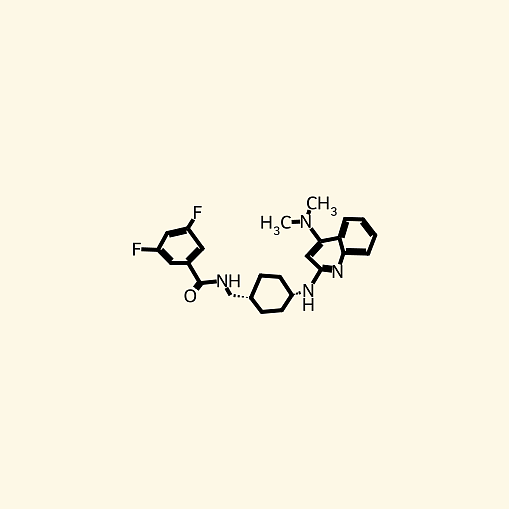 CN(C)c1cc(N[C@H]2CC[C@@H](CNC(=O)c3cc(F)cc(F)c3)CC2)nc2ccccc12